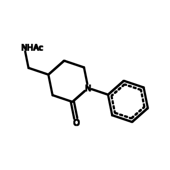 CC(=O)NCC1CCN(c2ccccc2)C(=O)C1